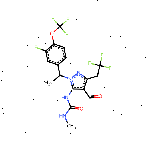 CNC(=O)Nc1c(C=O)c(CC(F)(F)F)nn1C(C)c1ccc(OC(F)(F)F)c(F)c1